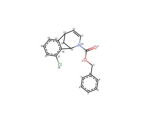 O=C(OCc1ccccc1)N1C=CC2CC1c1c(Cl)cccc12